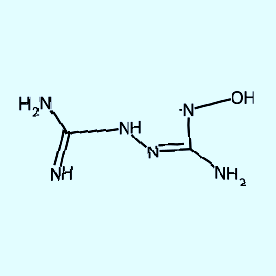 N=C(N)NN=C(N)[N]O